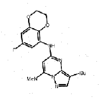 CCC(C)c1cnn2c(NC)cc(Nc3cc(F)cc4c3OCCO4)nc12